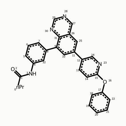 CCCC(=O)Nc1cccc(-c2cc(-c3ccc(Oc4ccccc4)nc3)cc3cncnc23)c1